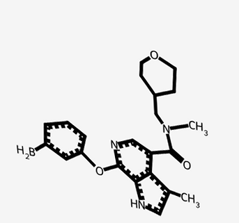 Bc1cccc(Oc2ncc(C(=O)N(C)CC3CCOCC3)c3c(C)c[nH]c23)c1